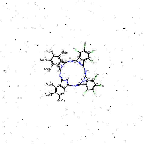 CNc1cc2c(c(NC)c1NC)-c1nc-2nc2[nH]c(nc3nc(nc4c5c(NC)c(NC)c(NC)c(NC)c5c(n1)n4NC)-c1c(F)c(F)c(F)c(F)c1-3)c1c(F)c(F)c(F)c(F)c21